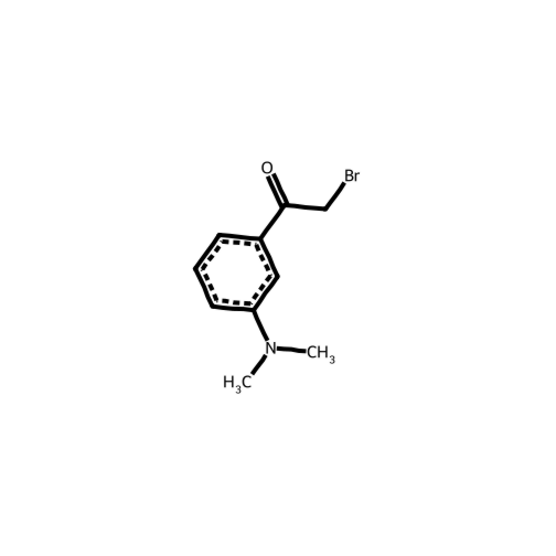 CN(C)c1cccc(C(=O)CBr)c1